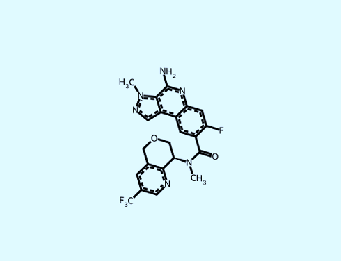 CN(C(=O)c1cc2c(cc1F)nc(N)c1c2cnn1C)[C@@H]1COCc2cc(C(F)(F)F)cnc21